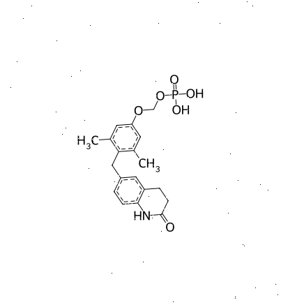 Cc1cc(OCOP(=O)(O)O)cc(C)c1Cc1ccc2c(c1)CCC(=O)N2